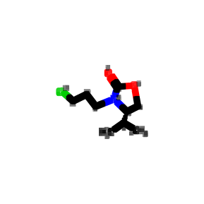 CC(C)[C@H]1COC(=O)N1CCCCl